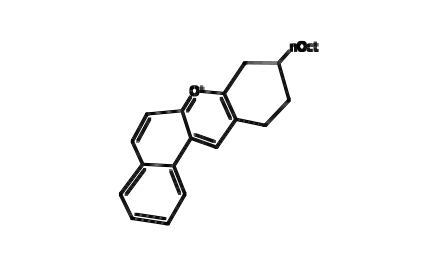 CCCCCCCCC1CCc2cc3c(ccc4ccccc43)[o+]c2C1